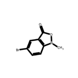 Cn1oc(=O)c2cc(Br)ccc21